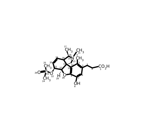 Cc1c(CCC(=O)O)cc(O)c2c1[C@]13CCN(C)[C@H](C)C1C=C[C@H](OP(C)(C)=O)[C@@H]3O2